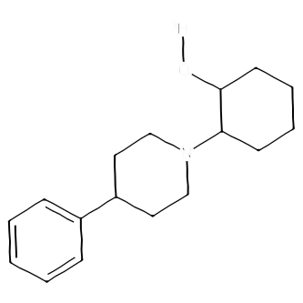 [3H]OC1CCCCC1N1CCC(c2ccccc2)CC1